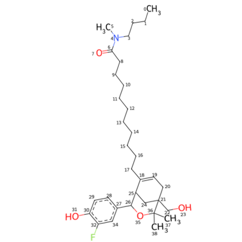 CCCCN(C)C(=O)CCCCCCCCCCC1=CCC2(CO)CC1C(c1ccc(O)c(F)c1)OC2(C)C